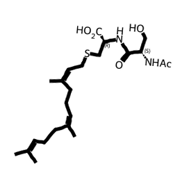 CC(=O)N[C@@H](CO)C(=O)N[C@@H](CSCC=C(C)CCC=C(C)CCC=C(C)C)C(=O)O